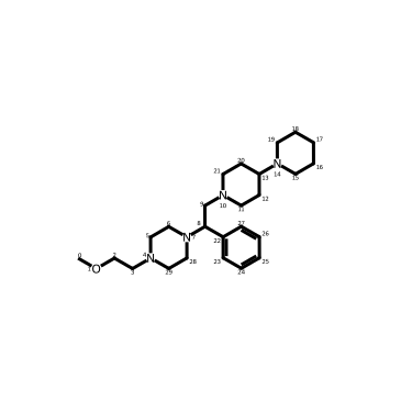 COCCN1CCN(C(CN2CCC(N3CCCCC3)CC2)c2ccccc2)CC1